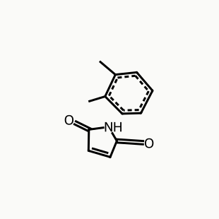 Cc1ccccc1C.O=C1C=CC(=O)N1